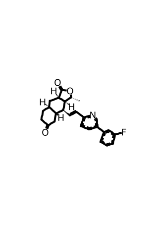 C[C@H]1OC(=O)[C@@H]2C[C@@H]3CCC(=O)C[C@H]3[C@H](/C=C/c3ccc(-c4cccc(F)c4)cn3)[C@H]12